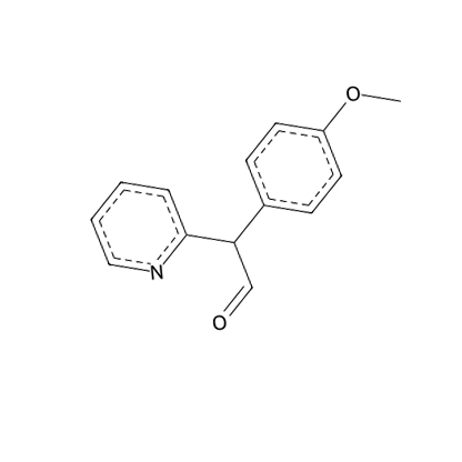 COc1ccc(C(C=O)c2ccccn2)cc1